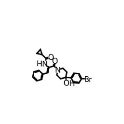 O=C(NC(=Cc1ccccc1)C(=O)N1CCC(O)(c2ccc(Br)cc2)CC1)C1CC1